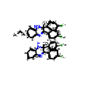 CC(=O)CC(C)=O.O=C(O)C1(c2ccc(F)cc2)Nc2ccccc2N=C1c1ccc(F)cc1.O=C(O)C1(c2ccc(F)cc2)Nc2ccccc2N=C1c1ccc(F)cc1